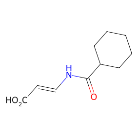 O=C(O)C=CNC(=O)C1CCCCC1